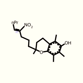 CCC/C=C(/CCCC1(C)CCc2c(C)c(O)c(C)c(C)c2O1)[N+](=O)[O-]